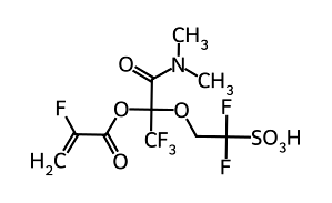 C=C(F)C(=O)OC(OCC(F)(F)S(=O)(=O)O)(C(=O)N(C)C)C(F)(F)F